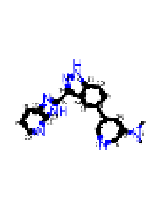 CN(C)c1cncc(-c2ccc3[nH]nc(-c4nc5cccnc5[nH]4)c3c2)c1